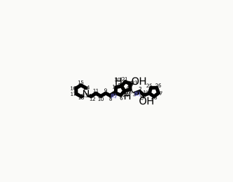 O[C@H](/C=C/[C@@H]1[C@H]2C/C(=C/CCCCN3CCCCC3)C[C@H]2C[C@H]1O)C1CCCC1